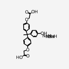 CC(c1ccc(O)cc1)(c1ccc(OCC(=O)O)cc1)c1ccc(OCC(=O)O)cc1.[NaH].[NaH].[NaH]